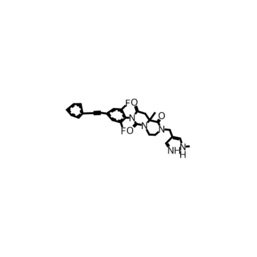 CN/C=C(\C=N)CN1CCN2C(=O)N(c3c(F)cc(C#Cc4ccccc4)cc3F)C(=O)CC2(C)C1=O